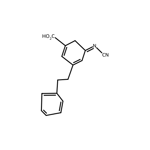 N#CN=C1C=C(CCc2ccccc2)C=C(C(=O)O)C1